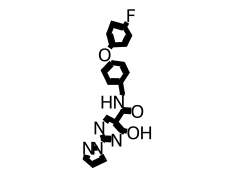 O=C(NCc1ccc(Oc2ccc(F)cc2)cc1)c1cnc(-n2cccn2)nc1O